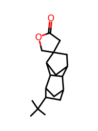 CC(C)(C)C1CC2CC1C1C2C2CC1C1(COC(=O)C1)C2